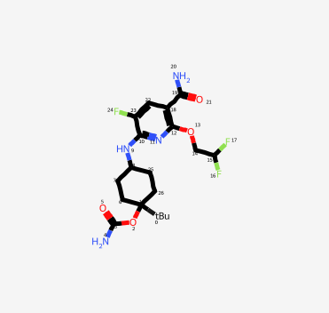 CC(C)(C)C1(OC(N)=O)CCC(Nc2nc(OCC(F)F)c(C(N)=O)cc2F)CC1